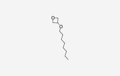 CCCCCCCCOC1COC1